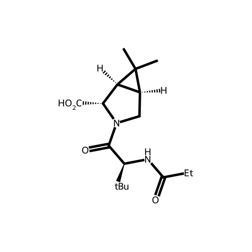 CCC(=O)N[C@H](C(=O)N1C[C@H]2[C@@H]([C@H]1C(=O)O)C2(C)C)C(C)(C)C